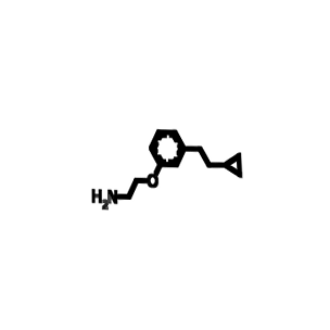 NCCOc1cccc(CCC2CC2)c1